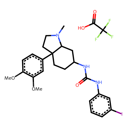 COc1ccc(C23CCC(NC(=O)Nc4cccc(I)c4)CC2N(C)CC3)cc1OC.O=C(O)C(F)(F)F